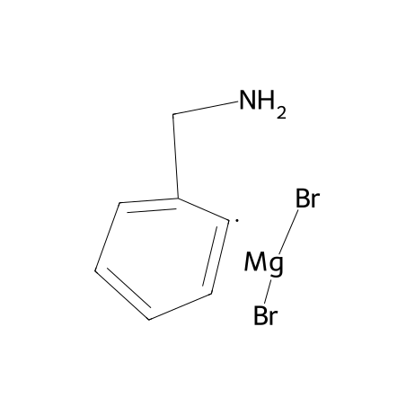 NCc1[c]cccc1.[Br][Mg][Br]